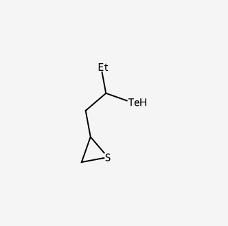 [CH2]CC([TeH])CC1CS1